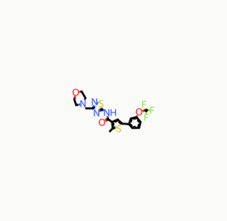 Cc1sc(-c2cccc(OC(F)(F)F)c2)cc1C(=O)Nc1nc(CN2CCOCC2)ns1